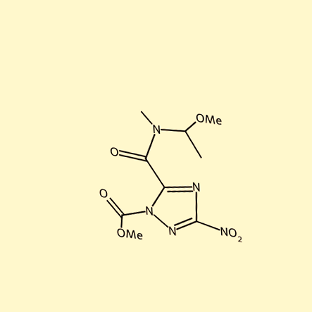 COC(=O)n1nc([N+](=O)[O-])nc1C(=O)N(C)C(C)OC